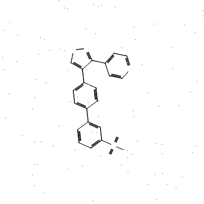 NS(=O)(=O)c1cccc(-c2ccc(-c3c[nH]nc3-c3ccncc3)cc2)c1